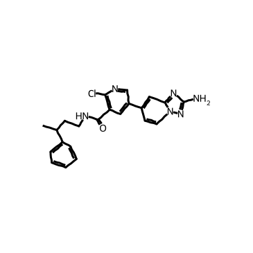 CC(CCNC(=O)c1cc(-c2ccn3nc(N)nc3c2)cnc1Cl)c1ccccc1